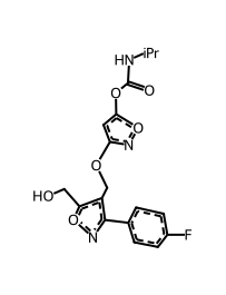 CC(C)NC(=O)Oc1cc(OCc2c(-c3ccc(F)cc3)noc2CO)no1